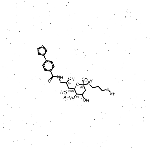 CCSCCCO[C@]1(C(=O)O)CC(O)[C@@H](NC(C)=O)[C@H]([C@H](O)[C@H](O)CNC(=O)c2ccc(-c3ccsc3)cc2)O1